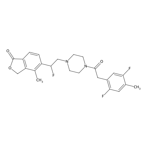 Cc1cc(F)c(CC(=O)N2CCN(CC(F)c3ccc4c(c3C)COC4=O)CC2)cc1F